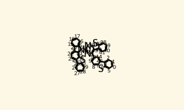 c1ccc2c(c1)sc1ccc(-c3nc(-n4c5ccccc5c5ccc6c7ccccc7sc6c54)nc4sc5ccccc5c34)cc12